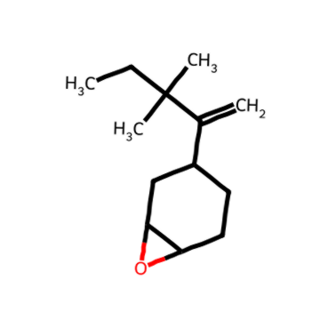 C=C(C1CCC2OC2C1)C(C)(C)CC